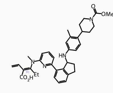 C=C/C(C(=O)O)=C(/CC)N(C)c1cccc(-c2cccc3c2C(Nc2ccc(C4CCN(C(=O)OC)CC4)c(C)c2)CC3)n1